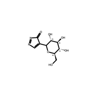 O=C1N=NC=C1C1O[C@H](CO)[C@@H](O)[C@H](O)[C@H]1O